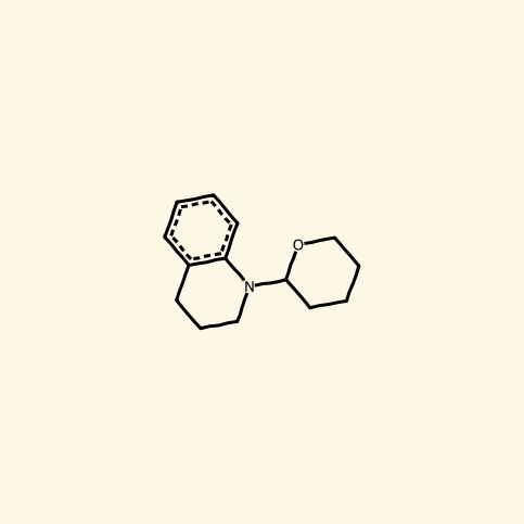 c1ccc2c(c1)CCCN2C1CCCCO1